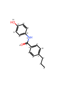 CCCc1ccc(C(=O)Nc2ccc(O)cc2)cc1